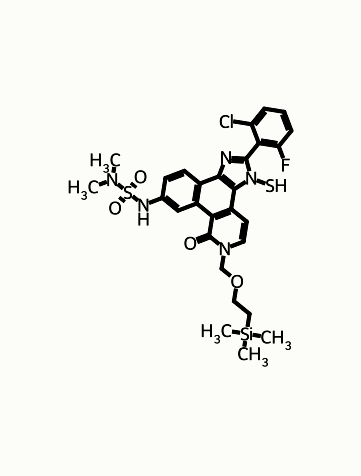 CN(C)S(=O)(=O)Nc1ccc2c(c1)c1c(=O)n(COCC[Si](C)(C)C)ccc1c1c2nc(-c2c(F)cccc2Cl)n1S